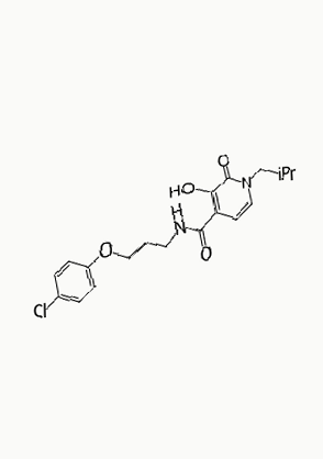 CC(C)Cn1ccc(C(=O)NCCCOc2ccc(Cl)cc2)c(O)c1=O